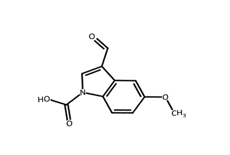 COc1ccc2c(c1)c(C=O)cn2C(=O)O